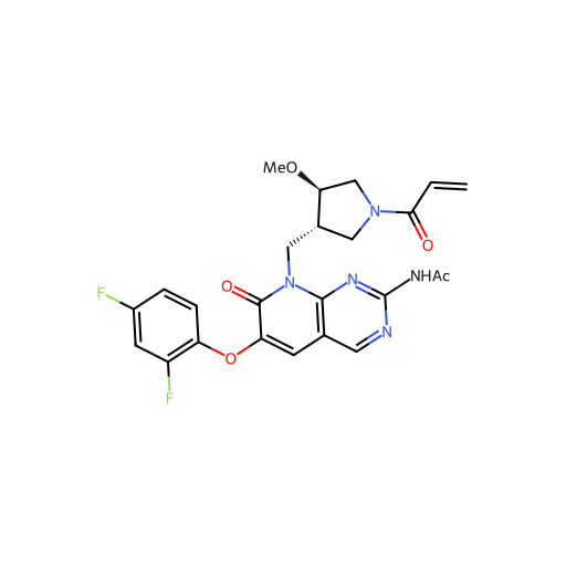 C=CC(=O)N1C[C@H](Cn2c(=O)c(Oc3ccc(F)cc3F)cc3cnc(NC(C)=O)nc32)[C@@H](OC)C1